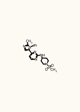 Cc1ncc(-c2ccnc(NC3CCN(S(C)(=O)=O)CC3)n2)n1C(C)C